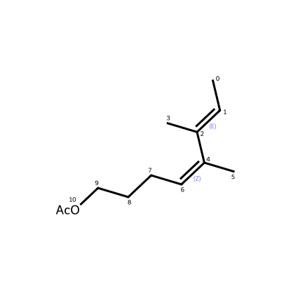 C/C=C(C)/C(C)=C\CCCOC(C)=O